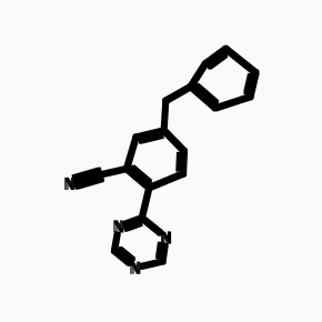 N#Cc1cc(Cc2ccccc2)ccc1-c1ncncn1